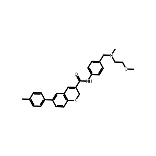 COCCN(C)Cc1ccc(NC(=O)C2=Cc3cc(-c4ccc(C)cc4)ccc3SC2)cc1